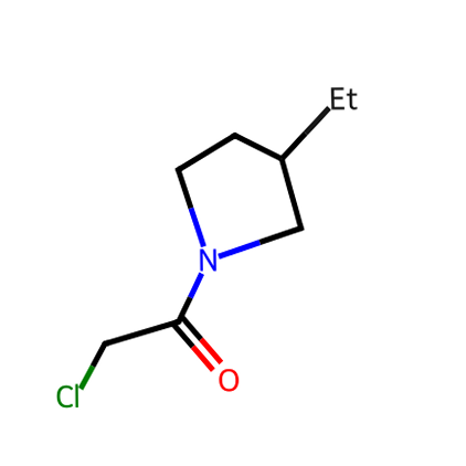 CCC1CCN(C(=O)CCl)C1